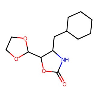 O=C1NC(CC2CCCCC2)C(C2OCCO2)O1